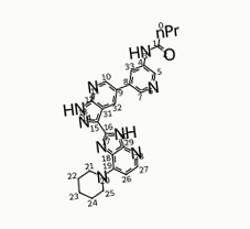 CCCC(=O)Nc1cncc(-c2cnc3[nH]nc(-c4nc5c(N6CCCCC6)ccnc5[nH]4)c3c2)c1